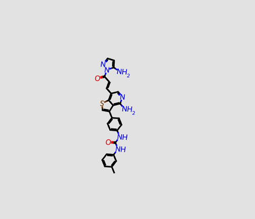 Cc1cccc(NC(=O)Nc2ccc(-c3csc4c(/C=C/C(=O)n5nccc5N)cnc(N)c34)cc2)c1